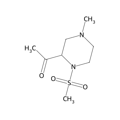 CC(=O)C1CN(C)CCN1S(C)(=O)=O